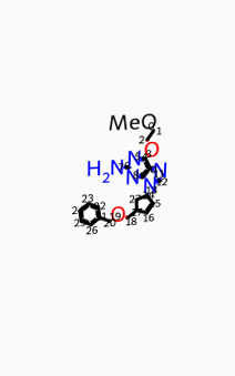 COCCOc1nc(N)nc2c1ncn2C1C=CC(COCc2ccccc2)C1